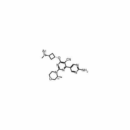 CC(=O)N(C)[C@H]1C[C@H](Oc2nc(N3CCOC[C@@H]3C)nc(-c3cnc(N)nc3)c2C#N)C1